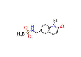 BS(=O)(=O)NCc1ccc2c(ccc(=O)n2CC)c1